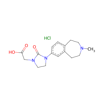 CN1CCc2ccc(N3CCN(CC(=O)O)C3=O)cc2CC1.Cl